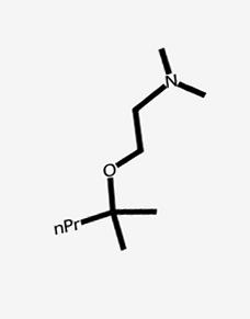 CCCC(C)(C)OCCN(C)C